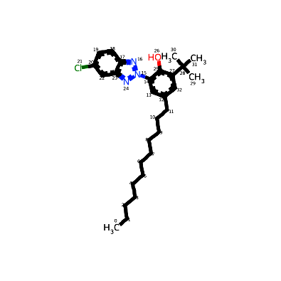 CCCCCCCCCCCCc1cc(-n2nc3ccc(Cl)cc3n2)c(O)c(C(C)(C)C)c1